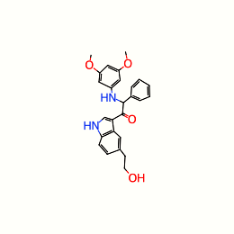 COc1cc(NC(C(=O)c2c[nH]c3ccc(CCO)cc23)c2ccccc2)cc(OC)c1